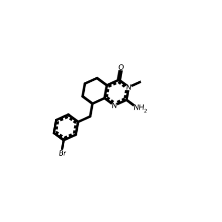 Cn1c(N)nc2c(c1=O)CCCC2Cc1cccc(Br)c1